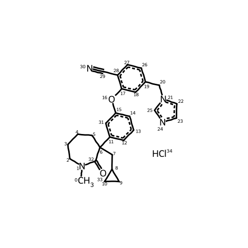 CN1CCCCC(CC2CC2)(c2cccc(Oc3cc(Cn4ccnc4)ccc3C#N)c2)C1=O.Cl